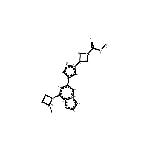 C[C@H]1CCN1c1nc(-c2cnn(C3CN(C(=O)OC(C)(C)C)C3)c2)cn2ccnc12